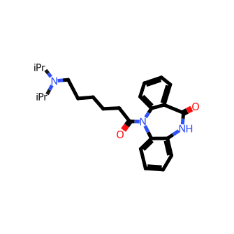 CC(C)N(CCCCCC(=O)N1c2ccccc2NC(=O)c2ccccc21)C(C)C